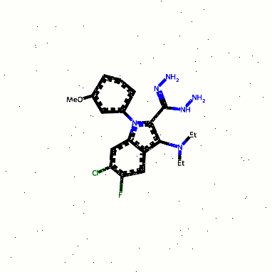 CCN(CC)c1c(/C(=N/N)NN)n(-c2cccc(OC)c2)c2cc(Cl)c(F)cc12